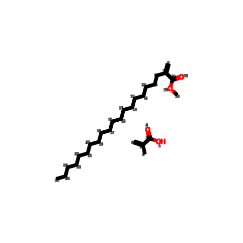 C=C(C)C(=O)O.C=C(CCCCCCCCCCCCCCCCCCC)C(=O)OC